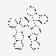 c1ccc(-c2nc(-n3c4ccccc4c4ccc5c(c43)-c3ccccc3C53c4ccccc4-c4ccccc43)c3ccccc3n2)cc1